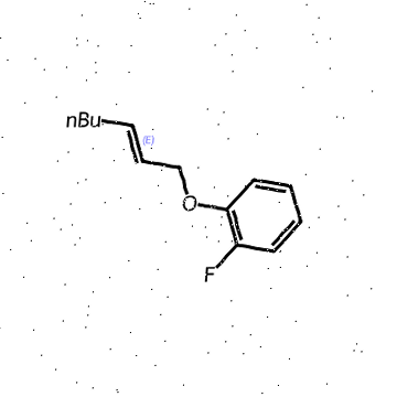 CCCC/C=C/COc1ccc[c]c1F